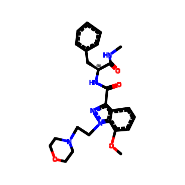 CNC(=O)[C@H](Cc1ccccc1)NC(=O)c1nn(CCN2CCOCC2)c2c(OC)cccc12